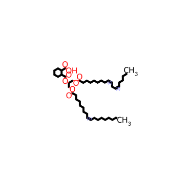 CCCCC/C=C\C/C=C\CCCCCCCC(=O)OCC(COC(=O)CCCCCCC/C=C\CCCCCCCC)OC(=O)C1CCCCC1C(=O)O